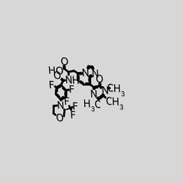 Cc1nc(-c2ccc(CC(NC(=O)c3c(F)cc(N4CCOC[C@@H]4C(F)(F)F)cc3F)C(=O)O)n3ccnc23)c(=O)n(C)c1C